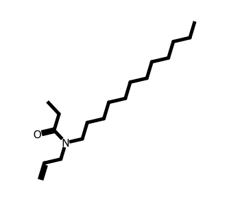 C=CCN(CCCCCCCCCCCC)C(=O)CC